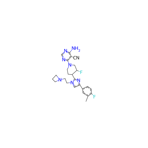 Cc1cc(-c2cn(CCN3CCC3)c(C3CCN(c4ncnc(N)c4C#N)CC3F)n2)ccc1F